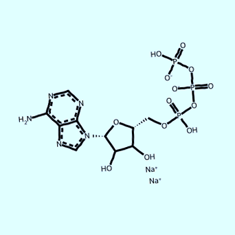 Nc1ncnc2c1ncn2[C@@H]1O[C@H](COP(=O)(O)OP(=O)([O-])OP(=O)([O-])O)C(O)C1O.[Na+].[Na+]